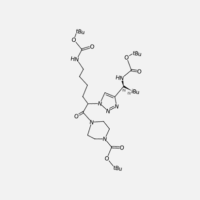 CC[C@H](C)[C@H](NC(=O)OC(C)(C)C)c1cn(C(CCCCNC(=O)OC(C)(C)C)C(=O)N2CCN(C(=O)OC(C)(C)C)CC2)nn1